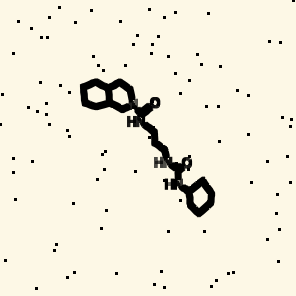 O=C(NCCCNC(=O)N1CCC2CCCCC2C1)NC1CCCCC1